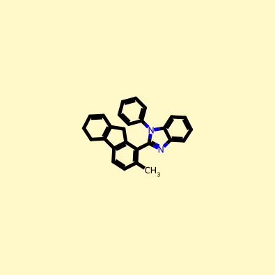 Cc1ccc2c(c1-c1nc3ccccc3n1-c1ccccc1)CC1=C2CCC=C1